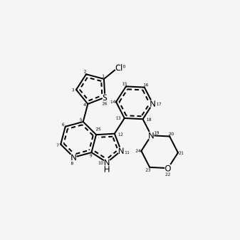 Clc1ccc(-c2ccnc3[nH]nc(-c4cccnc4N4CCOCC4)c23)s1